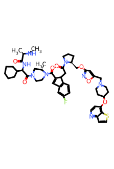 CN[C@@H](C)C(=O)NC(C(=O)N1CCN(C(=O)C2=Cc3cc(F)ccc3C2CC(=O)N2CCC[C@H]2COc2cc(CN3CCC(Oc4ccnc5ccsc45)CC3)on2)[C@@H](C)C1)C1CCCCC1